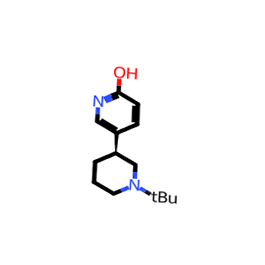 CC(C)(C)N1CCC[C@@H](c2ccc(O)nc2)C1